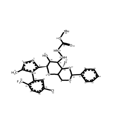 Cc1nnc([C@@H]2OC3COC(c4ccccc4)O[C@@H]3C(NNC(=O)OC(C)(C)C)C2O)n1-c1cc(Cl)ccc1C(F)(F)F